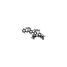 COc1cc(-c2ccc(OS(C)(=O)=O)cc2)c(OC)c(OS(C)(=O)=O)c1-c1ccc(OCc2ccccc2)c(CO)c1